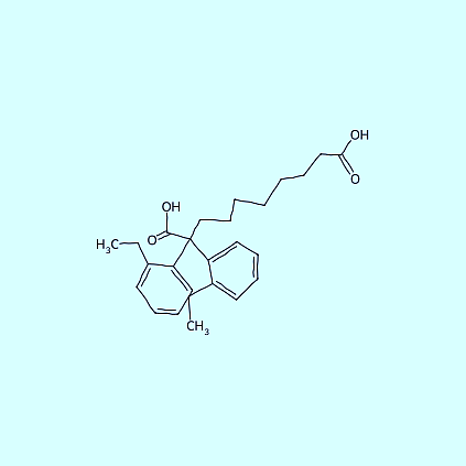 CCc1ccccc1C(CCCCCCCC(=O)O)(C(=O)O)c1ccccc1CC